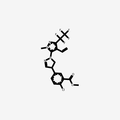 C=Cc1c(C(F)(F)C(F)(F)F)nn(C)c1N1CC(c2ccc(Cl)c(C(=O)OC)c2)C=N1